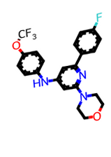 Fc1ccc(-c2cc(Nc3ccc(OC(F)(F)F)cc3)cc(N3CCOCC3)n2)cc1